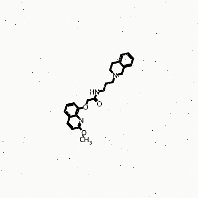 COc1ccc2cccc(OCC(=O)NCCCN3CCc4ccccc4C3)c2n1